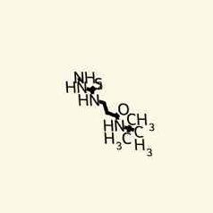 CC(C)(C)NC(=O)CCNC(=S)NN